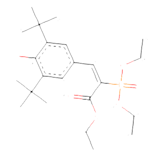 CCOC(=O)/C(=C\c1cc(C(C)(C)C)c(O)c(C(C)(C)C)c1)P(=O)(OCC)OCC